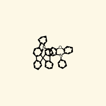 c1ccc(N2c3ccccc3Oc3cc(-n4c5ccccc5c5ccc6c(c54)C4(c5ccccc5-c5ccccc54)c4ccccc4-6)ccc32)cc1